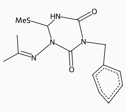 CSC1NC(=O)N(Cc2ccccc2)C(=O)N1N=C(C)C